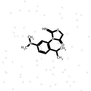 CC(C)c1ccc(N(C)C)cc1N1C(=N)SCC1=O